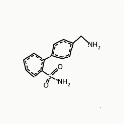 NCc1ccc(-c2ccccc2S(N)(=O)=O)cc1